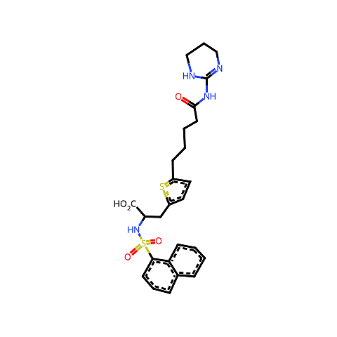 O=C(CCCCc1ccc(CC(NS(=O)(=O)c2cccc3ccccc23)C(=O)O)s1)NC1=NCCCN1